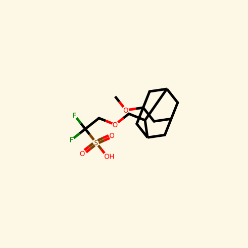 COC12CC3CC(C1)C(COCC(F)(F)S(=O)(=O)O)C(C3)C2